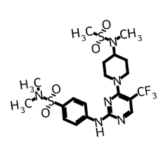 CN(C1CCN(c2nc(Nc3ccc(S(=O)(=O)N(C)C)cc3)ncc2C(F)(F)F)CC1)S(C)(=O)=O